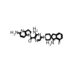 Nc1ccc2c(n1)CCN2C(=O)c1ncc(N2CCC3(CC2)Cc2cccc(F)c2[C@H]3N)nc1N